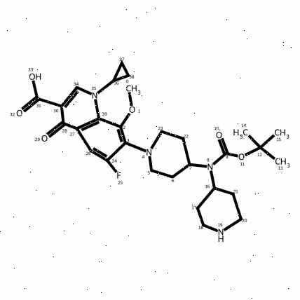 COc1c(N2CCC(N(C(=O)OC(C)(C)C)C3CCNCC3)CC2)c(F)cc2c(=O)c(C(=O)O)cn(C3CC3)c12